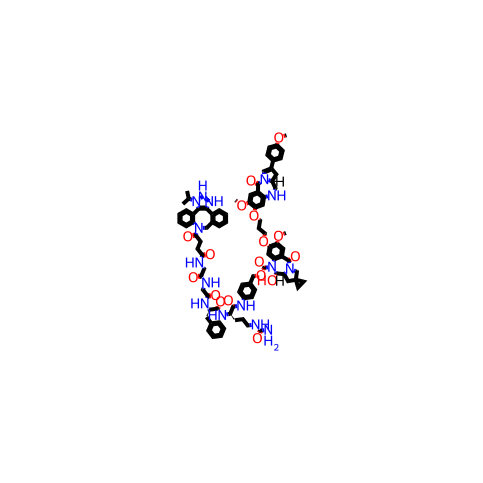 COc1ccc(C2=CN3C(=O)c4cc(OC)c(OCCCOc5cc6c(cc5OC)C(=O)N5CC7(CC7)C[C@H]5C(O)N6C(=O)OCc5ccc(NC(=O)[C@H](CCCNC(N)=O)NC(=O)[C@H](Cc6ccccc6)NC(=O)CNC(=O)CNC(=O)CCC(=O)N6Cc7ccccc7C7=C(c8ccccc86)N(C(C)C)NN7)cc5)cc4NC[C@@H]3C2)cc1